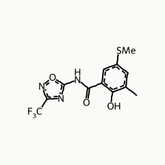 CSc1cc(C)c(O)c(C(=O)Nc2nc(C(F)(F)F)no2)c1